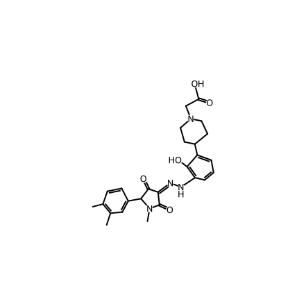 Cc1ccc(C2C(=O)/C(=N/Nc3cccc(C4CCN(CC(=O)O)CC4)c3O)C(=O)N2C)cc1C